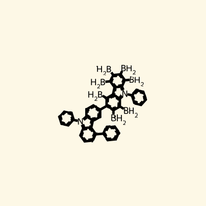 Bc1c(B)c(B)c2c(c1B)c1c(B)c(-c3ccc4c(c3)c3c(-c5ccccc5)cccc3n4-c3ccccc3)c(B)c(B)c1n2-c1ccccc1